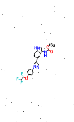 CC(C)(C)OC(=O)Nc1c[nH]c2ccc(-c3cnn(-c4ccc(OC(F)C(F)F)cc4)c3)cc12